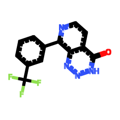 O=c1[nH]nnc2c(-c3cccc(C(F)(F)F)c3)nccc12